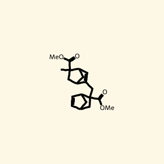 COC(=O)C1(C)CC2CC1C=C2CC1(C(=O)OC)CC2C=CC1C2